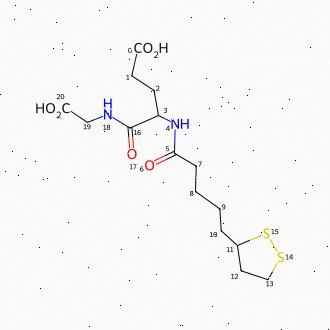 O=C(O)CCC(NC(=O)CCCCC1CCSS1)C(=O)NCC(=O)O